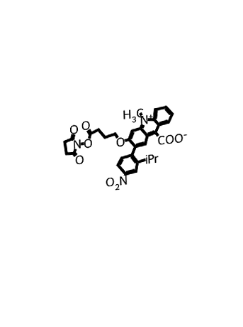 CC(C)c1cc([N+](=O)[O-])ccc1-c1cc2c(C(=O)[O-])c3ccccc3[n+](C)c2cc1OCCCC(=O)ON1C(=O)CCC1=O